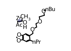 CC(=O)/C=C(/C)O.CCCCOCCOCCOCc1cc2c(cc1CCC)OCO2.[Zr]